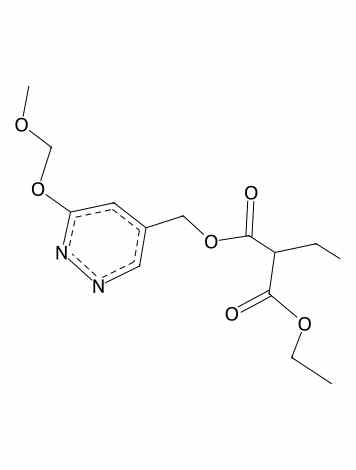 CCOC(=O)C(CC)C(=O)OCc1cnnc(OCOC)c1